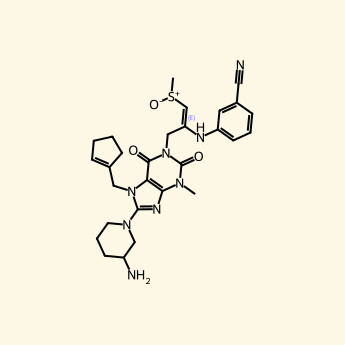 Cn1c(=O)n(C/C(=C\[S+](C)[O-])Nc2cccc(C#N)c2)c(=O)c2c1nc(N1CCCC(N)C1)n2CC1=CCCC1